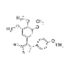 COc1ccc(-c2cnn(O)c2-c2cc(OC)c(OC)c(OC)c2)cc1